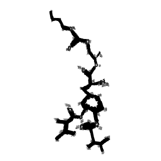 CCCCOC(=O)OC[C@H](C)OC(=O)[C@@H](N)Cc1ccc(OC(=O)C(C)C(C)C)c(OC(=O)C(C)C(C)C)c1